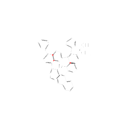 CC1(C)c2ccccc2-c2c(-c3ccccc3N(c3ccccc3-c3ccc(-c4ccccc4)cc3)c3ccccc3-c3cccc4ccccc34)cccc21